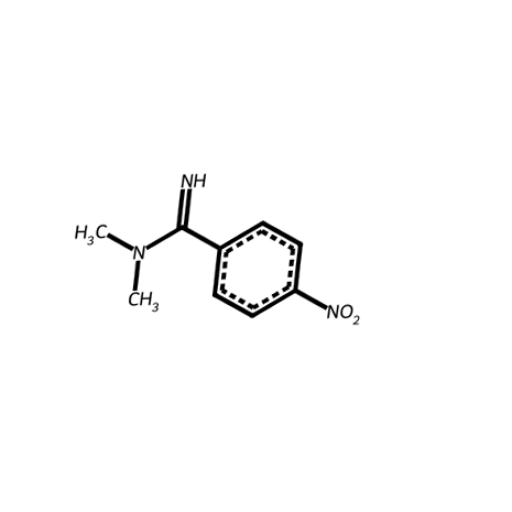 CN(C)C(=N)c1ccc([N+](=O)[O-])cc1